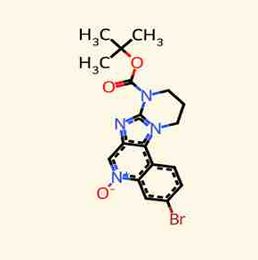 CC(C)(C)OC(=O)N1CCCn2c1nc1c[n+]([O-])c3cc(Br)ccc3c12